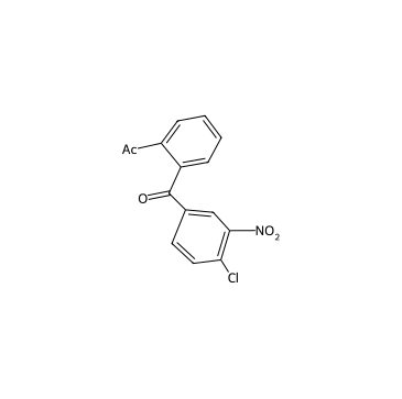 CC(=O)c1ccccc1C(=O)c1ccc(Cl)c([N+](=O)[O-])c1